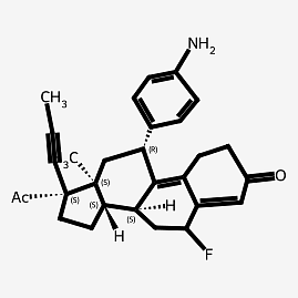 CC#C[C@]1(C(C)=O)CC[C@H]2[C@@H]3CC(F)C4=CC(=O)CCC4=C3[C@@H](c3ccc(N)cc3)C[C@@]21C